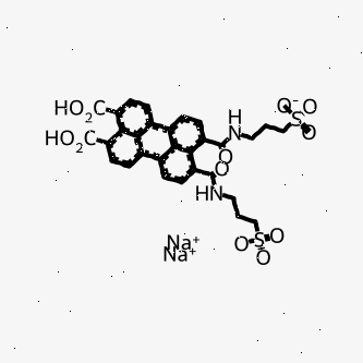 O=C(O)c1ccc2c3ccc(C(=O)NCCCS(=O)(=O)[O-])c4c(C(=O)NCCCS(=O)(=O)[O-])ccc(c5ccc(C(=O)O)c1c25)c43.[Na+].[Na+]